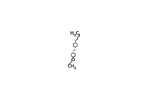 C/C=C\CCC[C@H]1CC[C@H](CC[C@H]2CC[C@H](OCCCC)CC2)CC1